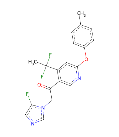 Cc1ccc(Oc2cc(C(C)(F)F)c(C(=O)Cn3cncc3F)cn2)cc1